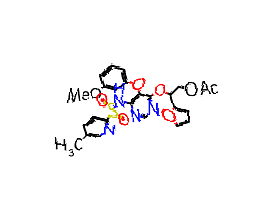 COc1cccc(Oc2c(NS(=O)(=O)c3ccc(C)cn3)ncnc2OC(COC(C)=O)c2ccco2)c1